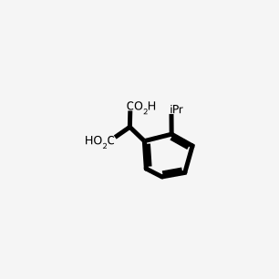 CC(C)c1ccccc1C(C(=O)O)C(=O)O